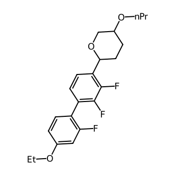 CCCOC1CCC(c2ccc(-c3ccc(OCC)cc3F)c(F)c2F)OC1